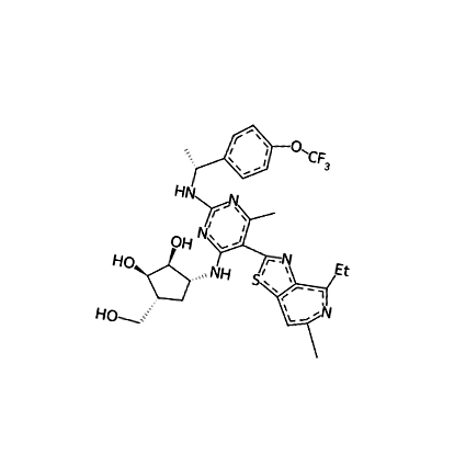 CCc1nc(C)cc2sc(-c3c(C)nc(N[C@H](C)c4ccc(OC(F)(F)F)cc4)nc3N[C@@H]3C[C@H](CO)[C@@H](O)[C@H]3O)nc12